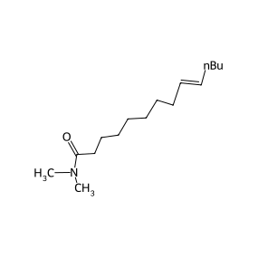 CCCCC=CCCCCCCCC(=O)N(C)C